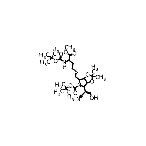 COC(=O)C(CCSCC1C2OC(C)(C)OC2C(C(C#N)=CO)N1C(=O)OC(C)(C)C)NC(=O)OC(C)(C)C